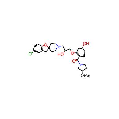 CO[C@H]1CCN(C(=O)c2ccc(O)cc2OC[C@@H](O)CN2CCC3(CC2)Cc2cc(Cl)ccc2O3)C1